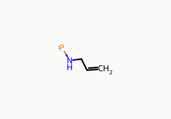 C=CCN[P]